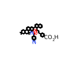 CN(C)c1ccc(C(=O)N(C)c2cc(-c3ccc4ccccc4c3C(=O)C=Cc3ccc(C(=O)O)cc3)cc3ccc4c(c23)C(C)(C)CC2=C4C=CC(C)(C)C2)cc1